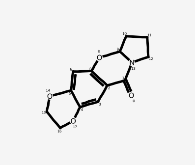 O=C1c2cc3c(cc2OC2CCCN12)OCCO3